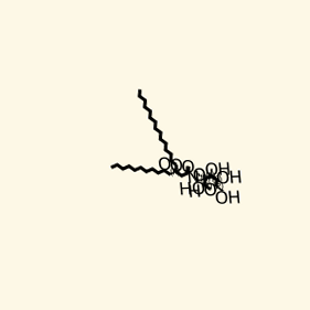 CCCCCCCCCCCCCC(=O)O[C@H](CCCCCCCCCCC)CC(=O)NO[C@@H]1[C@@H](O)[C@H](O)[C@@H](CO)O[C@H]1O